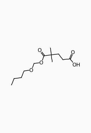 CCCCOCOC(=O)C(C)(C)CCC(=O)O